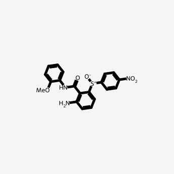 COc1ccccc1NC(=O)c1c(N)cccc1[S+]([O-])c1ccc([N+](=O)[O-])cc1